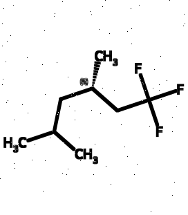 CC(C)C[C@H](C)CC(F)(F)F